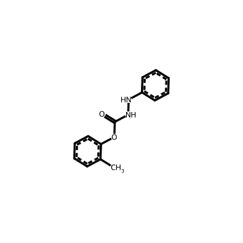 Cc1ccccc1OC(=O)NNc1ccccc1